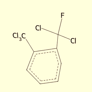 FC(Cl)(Cl)c1ccccc1C(Cl)(Cl)Cl